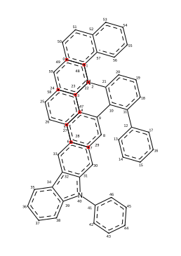 c1ccc(-c2ccccc2-c2c(-c3ccccc3)cccc2N(c2cccc(-c3ccc4c(c3)c3ccccc3n4-c3ccccc3)c2)c2cccc3ccccc23)cc1